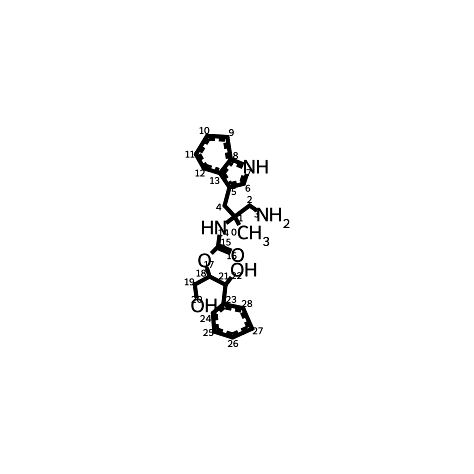 CC(CN)(Cc1c[nH]c2ccccc12)NC(=O)OC(CO)C(O)c1ccccc1